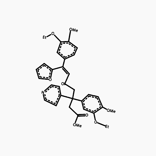 CCOc1cc(C(=CC(=O)CC(CC(=O)OC)(c2ccncc2)c2ccc(OC)c(OCC)c2)c2ccco2)ccc1OC